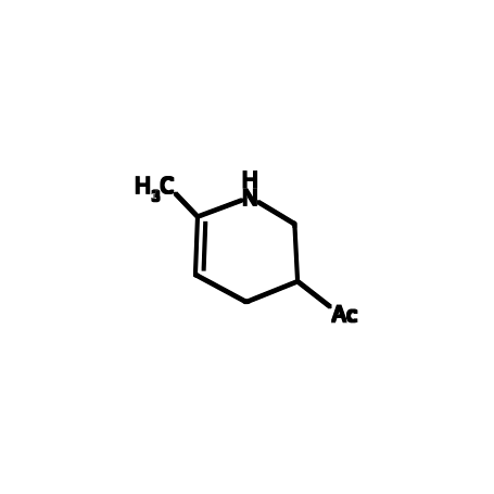 CC(=O)C1CC=C(C)NC1